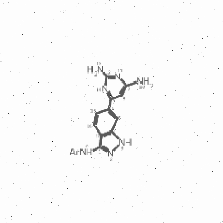 CC(=O)Nc1n[nH]c2cc(-c3cc(N)nc(N)n3)ccc12